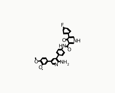 COc1ccc(-c2cnc(N)c(-c3ccc(NC(=O)c4c[nH]cc(-c5ccc(F)cc5)c4=O)cc3)c2)cc1OC